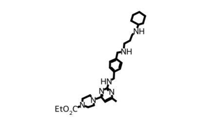 CCOC(=O)N1CCN(c2cc(C)nc(NCc3ccc(CNCCCNC4CCCCC4)cc3)n2)CC1